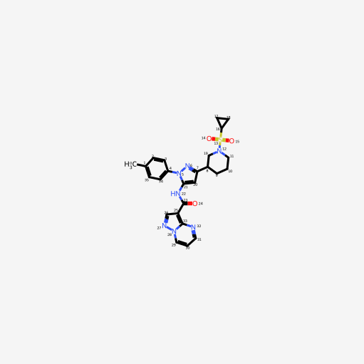 Cc1ccc(-n2nc(C3CCCN(S(=O)(=O)C4CC4)C3)cc2NC(=O)c2cnn3cccnc23)cc1